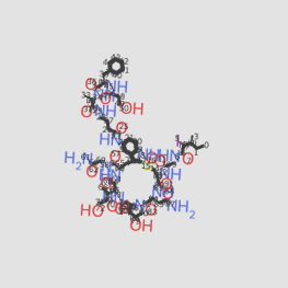 CC[C@H](C)[C@H](I)C(=O)NCC(=O)N[C@H]1C[S+]([O-])c2[nH]c3ccc(NC(=O)CCCNC(=O)[C@@H](C)NC(=O)[C@@H](Cc4ccccc4)NC(=O)CCO)cc3c2C[C@H](C(=O)NCC(N)=O)NC(=O)[C@H](C(C)C(O)CO)NC(=O)[C@@H]2C[C@@H](O)CN2C(=O)[C@H](CC(N)=O)NC1=O